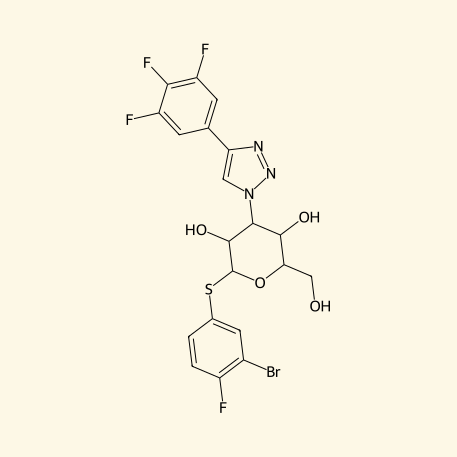 OCC1OC(Sc2ccc(F)c(Br)c2)C(O)C(n2cc(-c3cc(F)c(F)c(F)c3)nn2)C1O